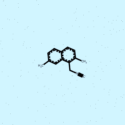 [C-]#[N+]Cc1c(C)ccc2ccc(C)cc12